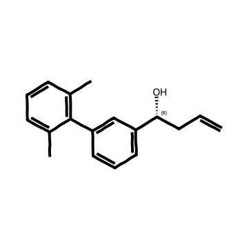 C=CC[C@@H](O)c1cccc(-c2c(C)cccc2C)c1